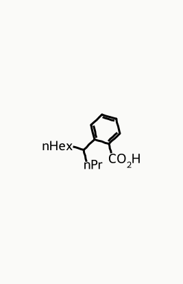 CCCCCCC(CCC)c1ccccc1C(=O)O